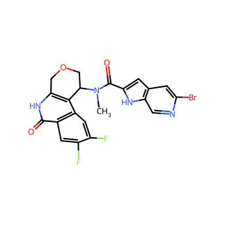 CN(C(=O)c1cc2cc(Br)ncc2[nH]1)C1COCc2[nH]c(=O)c3cc(F)c(F)cc3c21